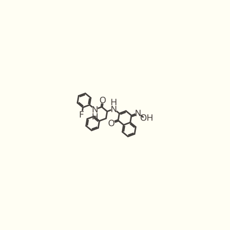 O=C1C(NC(Cc2ccccc2)C(=O)Nc2ccccc2F)=C/C(=N/O)c2ccccc21